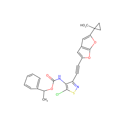 CC(OC(=O)Nc1c(C#Cc2cc3cc(C4(C(=O)O)CC4)oc3o2)nsc1Cl)c1ccccc1